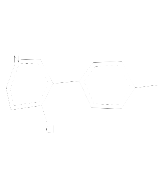 Cc1ccc(-c2cnccc2Cl)cc1